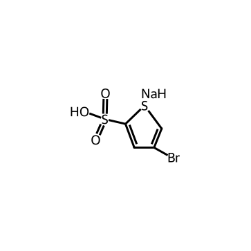 O=S(=O)(O)c1cc(Br)cs1.[NaH]